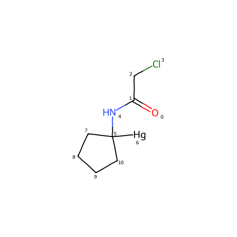 O=C(CCl)N[C]1([Hg])CCCC1